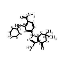 Cc1nn(-c2ccc(C(N)=O)c(NC3CCSCC3)c2)c2c1C(=O)CC(C)(C)C2